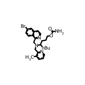 CCCCC(CCCOC(N)=O)N(Cc1ncccc1C)Cc1nccc2cc(Br)ccc12